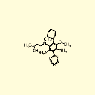 COc1c(N)c(-c2ncncn2)c(N)c(N(C)CCN(C)C)c1N1C=CC=CC1